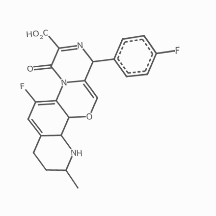 CC1CCC2=CC(F)=C3C(OC=C4C(c5ccc(F)cc5)N=C(C(=O)O)C(=O)N43)C2N1